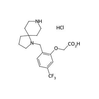 Cl.O=C(O)COc1cc(C(F)(F)F)ccc1CN1CCCC12CCNCC2